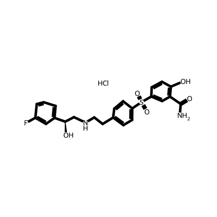 Cl.NC(=O)c1cc(S(=O)(=O)c2ccc(CCNC[C@@H](O)c3cccc(F)c3)cc2)ccc1O